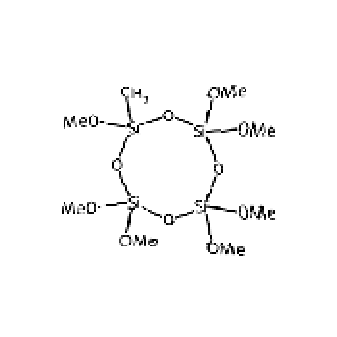 CO[Si]1(C)O[Si](OC)(OC)O[Si](OC)(OC)O[Si](OC)(OC)O1